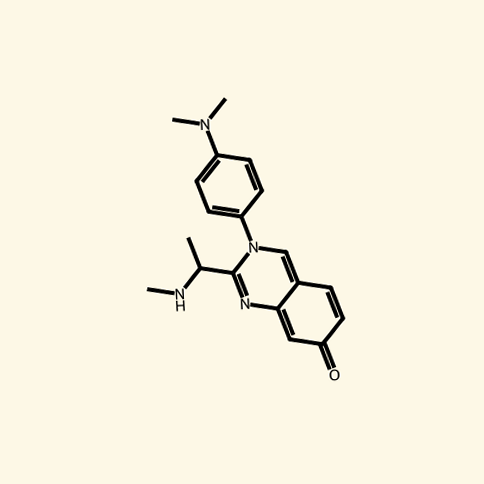 CNC(C)c1nc2cc(=O)ccc-2cn1-c1ccc(N(C)C)cc1